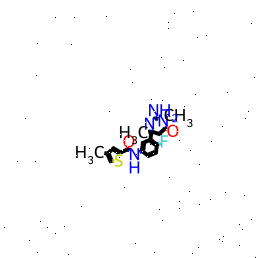 Cc1csc(C(=O)Nc2ccc(F)c(C3(C)CC(=O)N(C)C(N)=N3)c2)c1